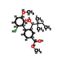 CCC(C)(C)C(O)c1cc(C(=O)OC)ccc1-c1cc(OC)ccc1F